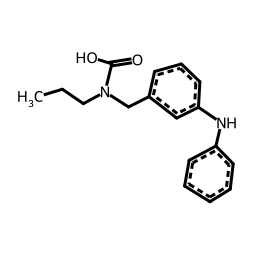 CCCN(Cc1cccc(Nc2ccccc2)c1)C(=O)O